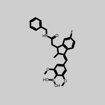 COc1cc(C=C2c3ccc(F)cc3C(CC(=O)NCc3ccccc3)C2C)cc(OC)c1B(O)O